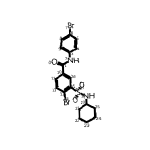 O=C(Nc1ccc(Br)cc1)c1ccc(Br)c(S(=O)(=O)NC2CCCCC2)c1